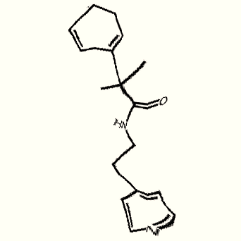 CC(C)(C(=O)NCCc1ccncc1)C1=CC[CH]C=C1